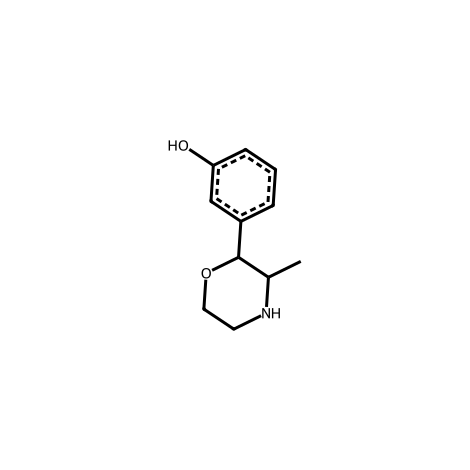 CC1NCCOC1c1cccc(O)c1